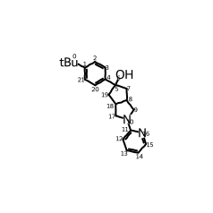 CC(C)(C)c1ccc(C2(O)CC3CN(c4ccccn4)CC3C2)cc1